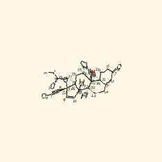 CCC(=O)O[C@@]1(C#CCl)C=C[C@H]2[C@@H]3CCC4=CC(=O)CC[C@@H]4[C@H]3[C@@H](Cl)C[C@@]21CC